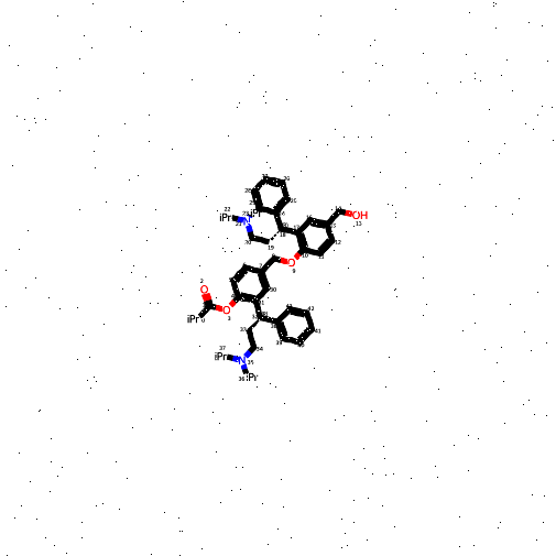 CC(C)C(=O)Oc1ccc(COc2ccc(CO)cc2[C@H](CCN(C(C)C)C(C)C)c2ccccc2)cc1[C@H](CCN(C(C)C)C(C)C)c1ccccc1